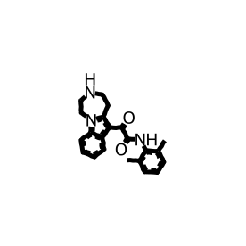 Cc1cccc(C)c1NC(=O)C(=O)c1c2n(c3ccccc13)CCNCC2